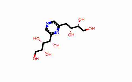 OC[C@@H](O)[C@H](O)[C@@H](O)c1cncc(C[C@@H](O)[C@H](O)CO)n1